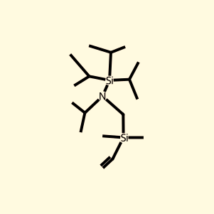 C=C[Si](C)(C)CN(C(C)C)[Si](C(C)C)(C(C)C)C(C)C